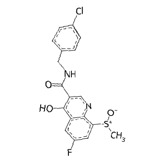 C[S+]([O-])c1cc(F)cc2c(O)c(C(=O)NCc3ccc(Cl)cc3)cnc12